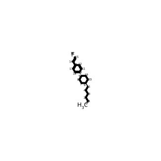 CCCCCC[C@H]1CC[C@H](c2ccc(C=CF)cc2)CC1